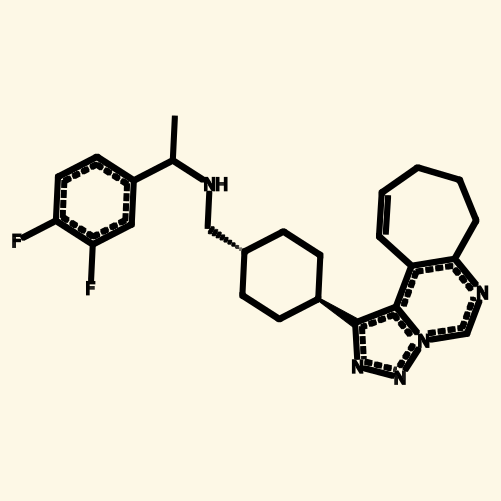 CC(NC[C@H]1CC[C@H](c2nnn3cnc4c(c23)C=CCCC4)CC1)c1ccc(F)c(F)c1